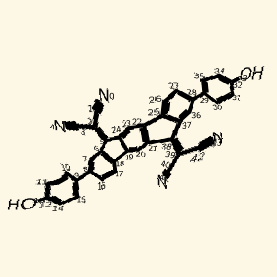 N#CC(C#N)=C1c2cc(-c3ccc(O)cc3)ccc2-c2cc3c(cc21)-c1ccc(-c2ccc(O)cc2)cc1C3=C(C#N)C#N